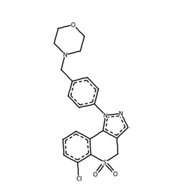 O=S1(=O)Cc2[c]nn(-c3ccc(CN4CCOCC4)cc3)c2-c2cccc(Cl)c21